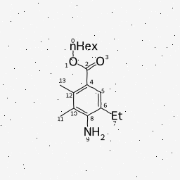 CCCCCCOC(=O)c1cc(CC)c(N)c(C)c1C